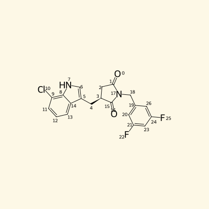 O=C1C[C@H](Cc2c[nH]c3c(Cl)cccc23)C(=O)N1Cc1cc(F)cc(F)c1